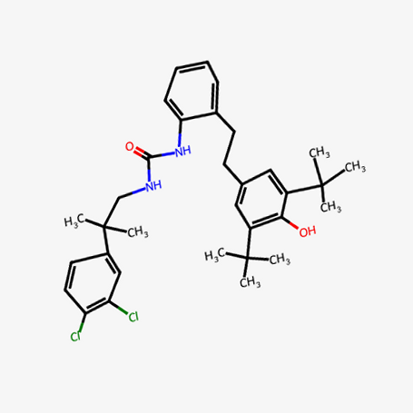 CC(C)(C)c1cc(CCc2ccccc2NC(=O)NCC(C)(C)c2ccc(Cl)c(Cl)c2)cc(C(C)(C)C)c1O